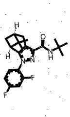 CC(C)(C)NC(=O)c1nn(-c2ccc(F)cc2F)c2c1C[C@@H]1C[C@H]2C1(C)C